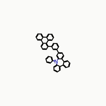 c1ccc(N2c3ccccc3-c3ccccc3-c3ccc(-c4cccc(-c5cccc6c7ccccc7c7ccccc7c56)c4)cc32)cc1